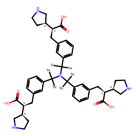 [2H]C([2H])(c1cccc(C[C@H](C(=O)O)[C@H]2CCNC2)c1)N(C([2H])([2H])c1cccc(C[C@H](C(=O)O)[C@H]2CCNC2)c1)C([2H])([2H])c1cccc(C[C@H](C(=O)O)[C@H]2CCNC2)c1